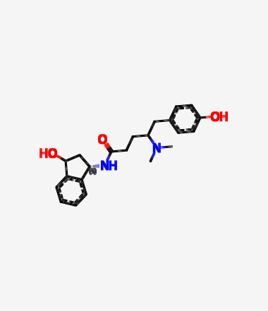 CN(C)C(CCC(=O)N[C@H]1CC(O)c2ccccc21)Cc1ccc(O)cc1